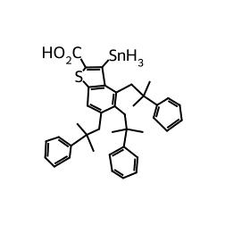 CC(C)(Cc1cc2sc(C(=O)O)[c]([SnH3])c2c(CC(C)(C)c2ccccc2)c1CC(C)(C)c1ccccc1)c1ccccc1